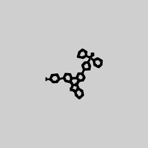 O=P(c1ccccc1)(c1ccccc1)c1ccc(-c2ccc3c(c2)c2ccc(-c4ccc(I)cc4)cc2c2nc4ccccc4n32)cc1